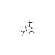 Cc1nc(N(C)C)nc(C(C)(C)C)n1